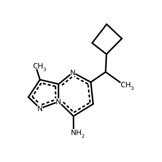 Cc1cnn2c(N)cc(C(C)C3CCC3)nc12